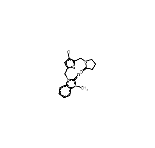 Cn1c(=O)n(Cc2cc(Cl)c(CN3CCCC3=O)s2)c2ccccc21